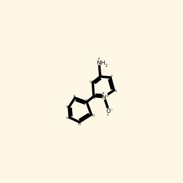 Nc1cc[n+]([O-])c(-c2ccccc2)c1